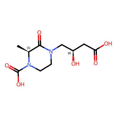 C[C@H]1C(=O)N(C[C@H](O)CC(=O)O)CCN1C(=O)O